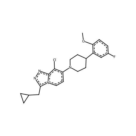 COc1ccc(F)cc1C1CCN(c2ccn3c(CC4CC4)nnc3c2Cl)CC1